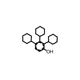 Oc1ccc(C2CCCCC2)c(C2CCCCC2)c1C1CCCCC1